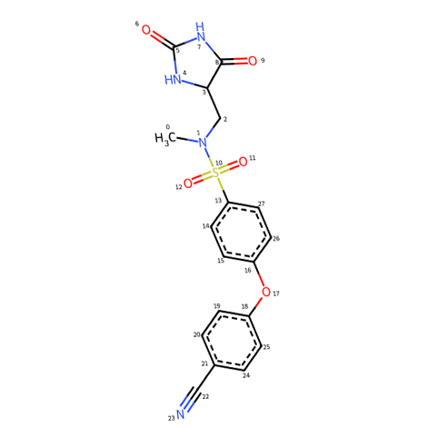 CN(CC1NC(=O)NC1=O)S(=O)(=O)c1ccc(Oc2ccc(C#N)cc2)cc1